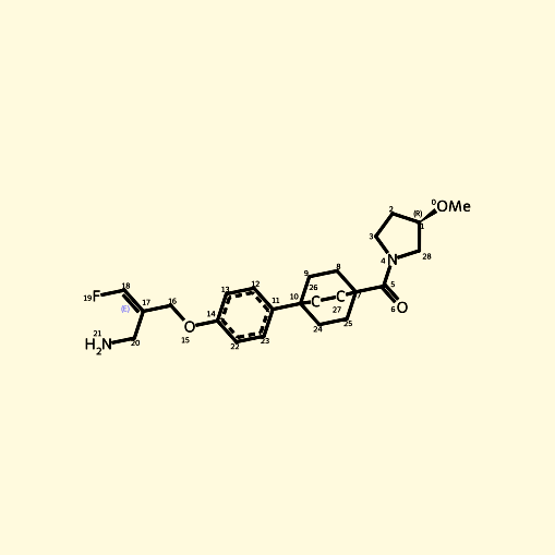 CO[C@@H]1CCN(C(=O)C23CCC(c4ccc(OC/C(=C/F)CN)cc4)(CC2)CC3)C1